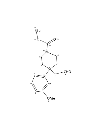 COc1cccc(C2(CC=O)CCN(C(=O)OC(C)(C)C)CC2)c1